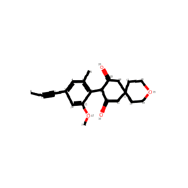 CC#Cc1cc(C)c(C2C(=O)CC3(CCOCC3)CC2=O)c(OC)c1